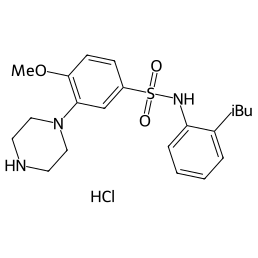 CCC(C)c1ccccc1NS(=O)(=O)c1ccc(OC)c(N2CCNCC2)c1.Cl